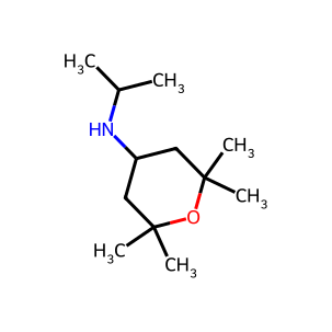 CC(C)NC1CC(C)(C)OC(C)(C)C1